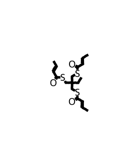 CC=CC(=O)SCC(CC)(CSC(=O)C=CC)CSC(=O)C=CC